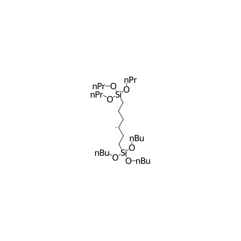 CCCCO[Si](CC[CH]CCC[Si](OCCC)(OCCC)OCCC)(OCCCC)OCCCC